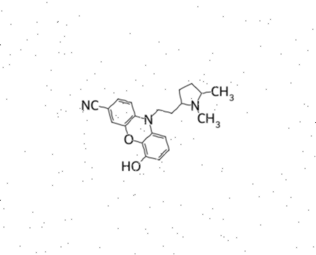 CC1CCC(CCN2c3ccc(C#N)cc3Oc3c(O)cccc32)N1C